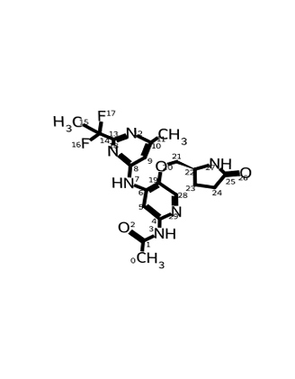 CC(=O)Nc1cc(Nc2cc(C)nc(C(C)(F)F)n2)c(OC[C@@H]2CCC(=O)N2)cn1